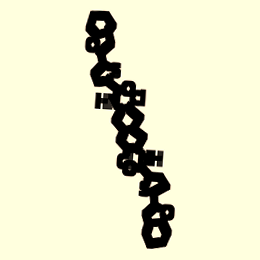 O=C(Nc1cc2cc(Cl)c(NC(=O)c3ccc(-c4cc5ccccc5o4)s3)cc2cc1Cl)c1ccc(-c2cc3ccccc3o2)s1